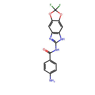 Nc1ccc(C(=O)Nc2nc3cc4c(cc3[nH]2)OC(F)(F)O4)cc1